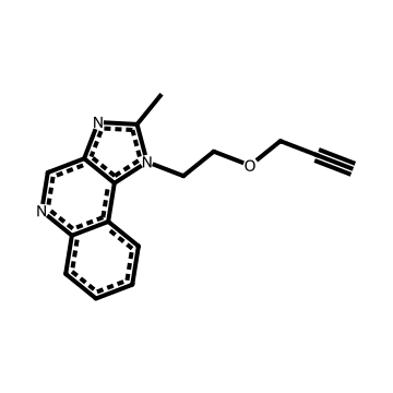 C#CCOCCn1c(C)nc2cnc3ccccc3c21